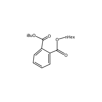 CCCCCCOC(=O)c1ccccc1C(=O)OCC(C)C